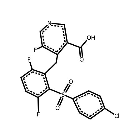 O=C(O)c1cncc(F)c1Cc1c(F)ccc(F)c1S(=O)(=O)c1ccc(Cl)cc1